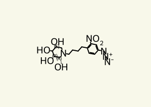 [N-]=[N+]=Nc1ccc(CCCCN2C[C@H](O)C(O)[C@H](O)[C@H]2CO)c([N+](=O)[O-])c1